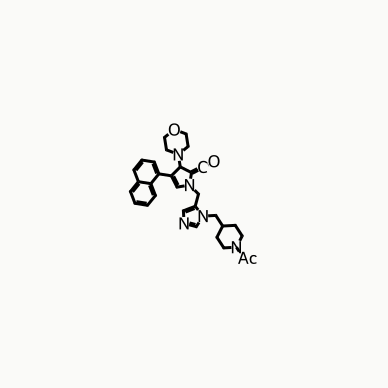 CC(=O)N1CCC(Cn2cncc2CN2C=C(c3cccc4ccccc34)C(N3CCOCC3)C2=C=O)CC1